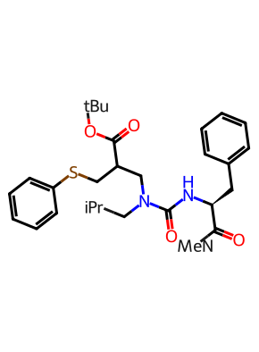 CNC(=O)[C@H](Cc1ccccc1)NC(=O)N(CC(C)C)CC(CSc1ccccc1)C(=O)OC(C)(C)C